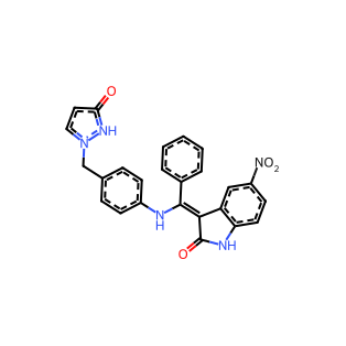 O=C1Nc2ccc([N+](=O)[O-])cc2/C1=C(/Nc1ccc(Cn2ccc(=O)[nH]2)cc1)c1ccccc1